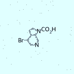 O=C(O)n1ccc2c(Br)cncc21